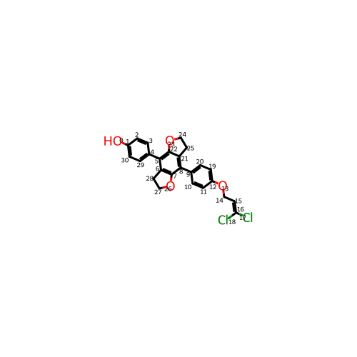 Oc1ccc(-c2c3c(c(-c4ccc(OCC=C(Cl)Cl)cc4)c4c2OCC4)OCC3)cc1